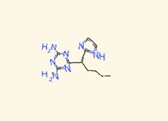 CCCCC(c1nc(N)nc(N)n1)c1ncc[nH]1